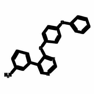 Nc1cccc(-c2cncnc2Oc2ccc(Oc3ccccc3)cc2)c1